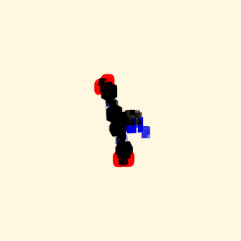 CCC(N)C1(C)c2cc(/C=C/c3ccc4c(c3)OCO4)ccc2-c2ccc(/C=C/c3ccc4c(c3)OCO4)cc21